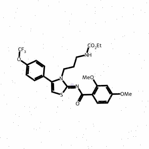 CCOC(=O)NCCCn1c(-c2ccc(OC(F)(F)F)cc2)cs/c1=N\C(=O)c1ccc(OC)cc1OC